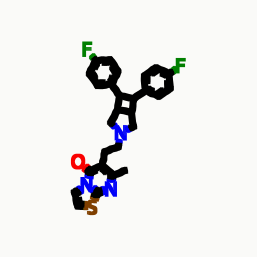 Cc1nc2sccn2c(=O)c1CCN1CC2C(C1)C(c1ccc(F)cc1)C2c1ccc(F)cc1